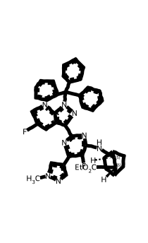 CCOC(=O)[C@H]1C2CCC(CC2)[C@@H]1Nc1nc(-c2nn(C(c3ccccc3)(c3ccccc3)c3ccccc3)c3ncc(F)cc23)nc(-c2cnn(C)c2)c1F